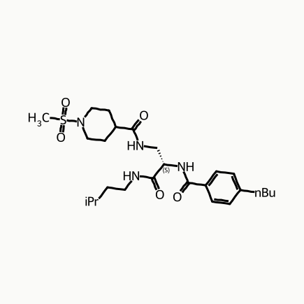 CCCCc1ccc(C(=O)N[C@@H](CNC(=O)C2CCN(S(C)(=O)=O)CC2)C(=O)NCCC(C)C)cc1